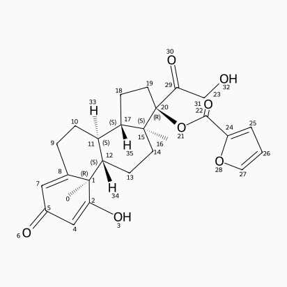 C[C@]12C(O)=CC(=O)C=C1CC[C@@H]1[C@@H]2CC[C@@]2(C)[C@H]1CC[C@]2(OC(=O)c1ccco1)C(=O)CO